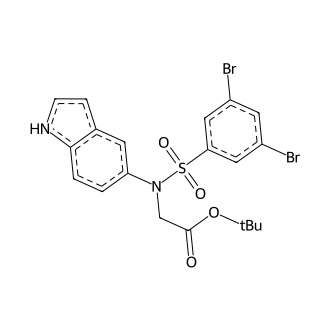 CC(C)(C)OC(=O)CN(c1ccc2[nH]ccc2c1)S(=O)(=O)c1cc(Br)cc(Br)c1